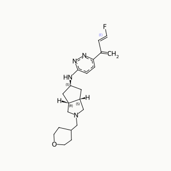 C=C(/C=C/F)c1ccc(N[C@H]2C[C@@H]3CN(CC4CCOCC4)C[C@@H]3C2)nn1